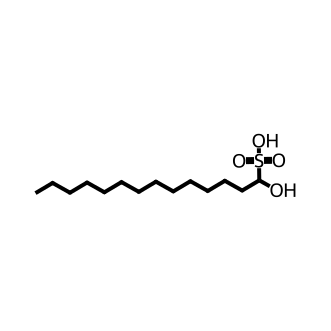 CCCCCCCCCCCCCC(O)S(=O)(=O)O